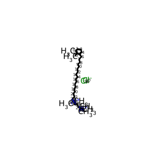 Cc1cccc(CCCCCCCCCCCCCCCCCC[N+](C)(C)CCC[N+](C)(C)C)c1C.[Cl-].[Cl-]